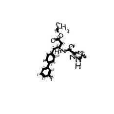 CCOC(=O)CC(Cc1ccc(-c2cccc(F)c2)cc1)NC(=O)c1nn[nH]n1